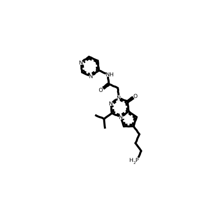 CC(C)c1nn(CC(=O)Nc2ccncn2)c(=O)c2cc(CCCP)cn12